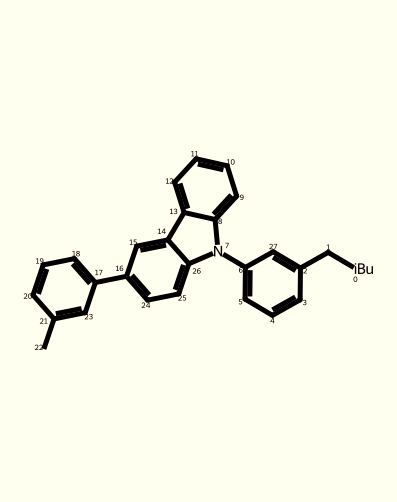 CCC(C)Cc1cccc(-n2c3ccccc3c3cc(-c4cccc(C)c4)ccc32)c1